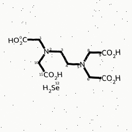 O=C(O)CN(CCN(CC(=O)O)CC(=O)O)CC(=O)O.[SeH2]